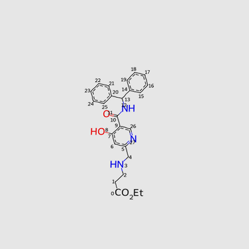 CCOC(=O)CCNCc1cc(O)c(C(=O)NC(c2ccccc2)c2ccccc2)cn1